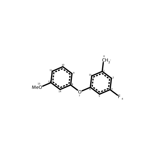 [CH2]c1cc(F)cc(Oc2cccc(OC)c2)c1